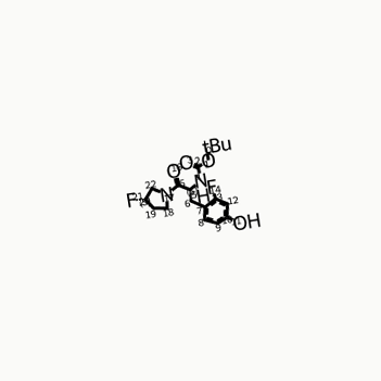 CC(C)(C)OC(=O)N[C@@H](Cc1ccc(O)cc1F)C(=O)N1CC[C@H](F)C1